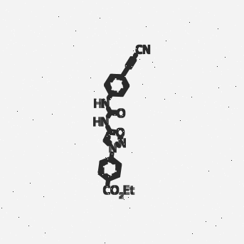 CCOC(=O)c1ccc(-[n+]2cc(NC(=O)Nc3ccc(C#CC#N)cc3)on2)cc1